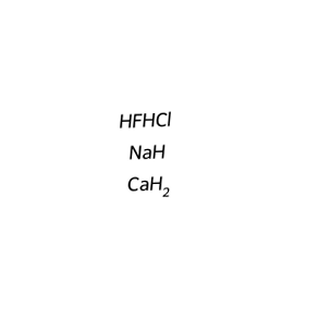 Cl.F.[CaH2].[NaH]